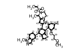 C=CS(=O)(=O)N1CCn2nc(-c3nc(-c4ccc5c(cnn5C)c4)c4ccsc4c3-c3c(F)cc(F)cc3OCCOC)cc2C1C